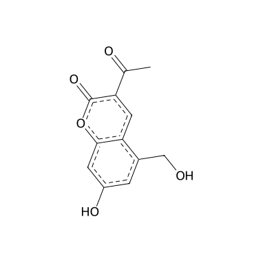 CC(=O)c1cc2c(CO)cc(O)cc2oc1=O